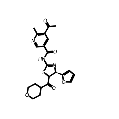 CC(=O)c1cc(C(=O)NC2=N[C@@H](c3ccco3)C(C(=O)C3CCOCC3)S2)cnc1C